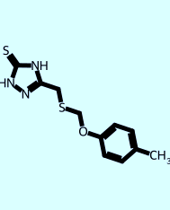 Cc1ccc(OCSCc2n[nH]c(=S)[nH]2)cc1